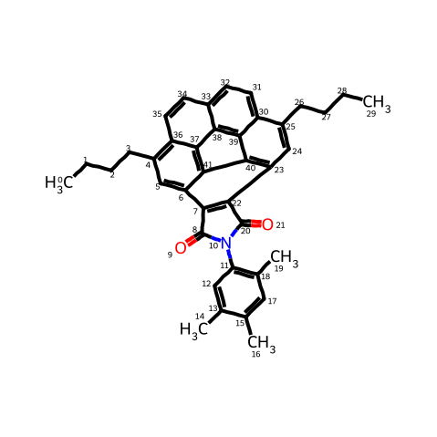 CCCCc1cc2c3c(=O)n(-c4cc(C)c(C)cc4C)c(=O)c3c3cc(CCCC)c4ccc5ccc1c1c5c4c3c21